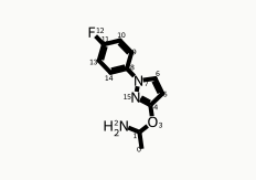 CC(N)Oc1ccn(-c2ccc(F)cc2)n1